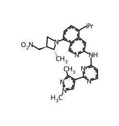 Cc1nn(C)cc1-c1nccc(Nc2cc3c(C(C)C)ccc(N4C[C@H](C[N+](=O)[O-])[C@H]4C)c3cn2)n1